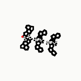 CC1=Cc2c(cc3c4c(cccc24)CC3)[C]12[Si](C)(C)[C]1(C(C)=Cc3c1cc1c4c(cccc34)CC1)[Ti]2([CH3])[CH3].CCC1=C2c3c(ccc4ccccc34)[CH]1[Ti]([CH3])([CH3])[CH]1C(CC)=C(c3c1ccc1ccccc31)[Si]2(C)C.CCCCC1=C2c3c(ccc4ccccc34)[CH]1[Nb]([CH3])([CH3])[CH]1C(CCCC)=C(c3c1ccc1ccccc31)[Si]2(C)C